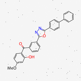 COc1ccc(C(=O)c2cccc(-c3nnc(-c4ccc(-c5ccccc5)cc4)o3)c2)c(O)c1